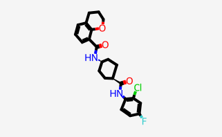 O=C(N[C@H]1CC[C@H](C(=O)Nc2ccc(F)cc2Cl)CC1)c1cccc2c1OCCC2